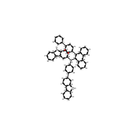 c1ccc(-c2ccc(-c3c(N(c4ccc(-c5ccc6c(c5)oc5ccccc56)cc4)c4ccc5sc6ccccc6c5c4)c4ccccc4c4ccccc34)cc2)cc1